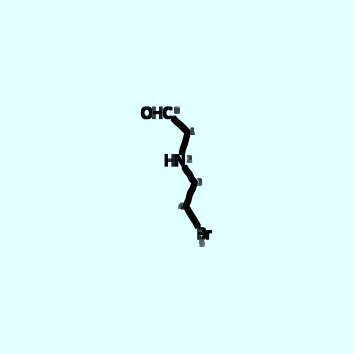 O=CCNCCBr